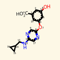 O=C(O)c1cc(O)cc(Oc2cnc(NCC3CC3)cn2)c1